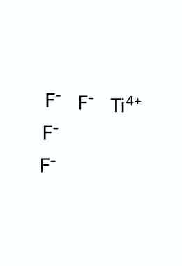 [F-].[F-].[F-].[F-].[Ti+4]